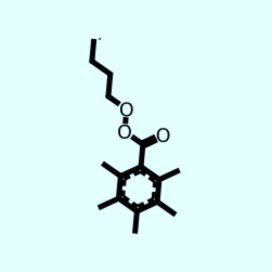 [CH2]CCCOOC(=O)c1c(C)c(C)c(C)c(C)c1C